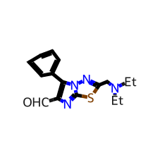 CCN(CC)Cc1nn2c(-c3ccccc3)c(C=O)nc2s1